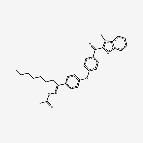 CCCCCCCC(=NOC(C)=O)c1ccc(Sc2ccc(C(=O)c3oc4ccccc4c3C)cc2)cc1